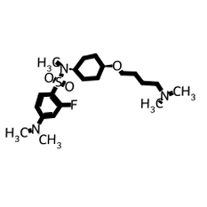 CN(C)CCCCO[C@H]1CC[C@H](N(C)S(=O)(=O)c2ccc(N(C)C)cc2F)CC1